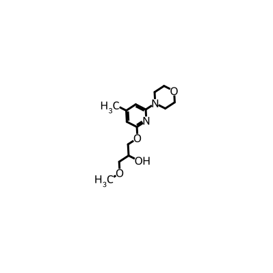 COCC(O)COc1cc(C)cc(N2CCOCC2)n1